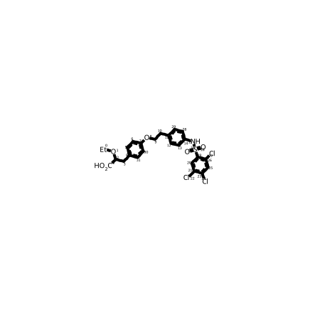 CCOC(Cc1ccc(OCCc2ccc(NS(=O)(=O)c3cc(Cl)c(Cl)cc3Cl)cc2)cc1)C(=O)O